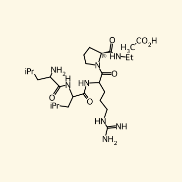 CC(=O)O.CCNC(=O)[C@@H]1CCCN1C(=O)C(CCCNC(=N)N)NC(=O)C(CC(C)C)NC(=O)C(N)CC(C)C